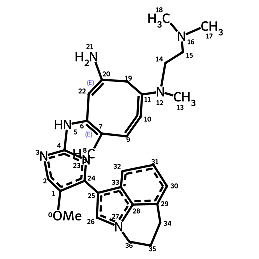 COc1cnc(NC2=C(\C)C=C=C(N(C)CCN(C)C)C/C(N)=C\2)nc1-c1cn2c3c(cccc13)CCC2